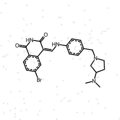 CN(C)C1CCN(Cc2ccc(NC=C3C(=O)NC(=O)c4ccc(Br)cc43)cc2)C1